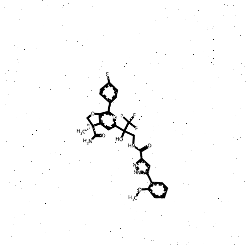 COc1ccccc1-c1cc(C(=O)NCC(O)(c2cc3c(c(-c4ccc(F)cc4)n2)OC[C@]3(C)C(N)=O)C(F)(F)F)n[nH]1